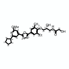 CCc1cc(-c2nnc(-c3cc(OC)nc(C4CCCC4)c3)o2)cc(C)c1OC[C@H](O)CNC(=O)CO